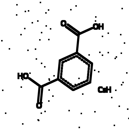 O=C(O)c1cccc(C(=O)O)c1.[CsH]